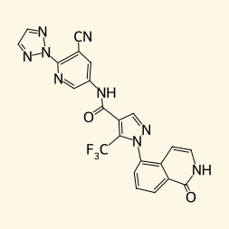 N#Cc1cc(NC(=O)c2cnn(-c3cccc4c(=O)[nH]ccc34)c2C(F)(F)F)cnc1-n1nccn1